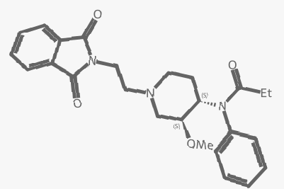 CCC(=O)N(c1ccccc1)[C@H]1CCN(CCN2C(=O)c3ccccc3C2=O)C[C@@H]1OC